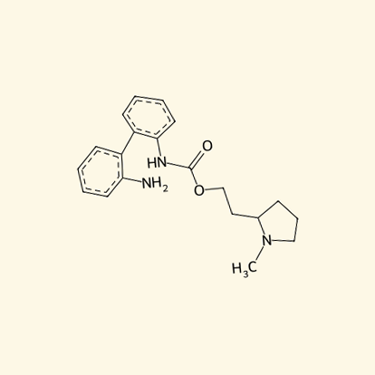 CN1CCCC1CCOC(=O)Nc1ccccc1-c1ccccc1N